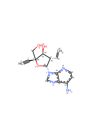 C#C[C@]1(CO)O[C@@H](n2cnc3c(N)ccnc32)[C@@H](C=C)[C@@H]1O